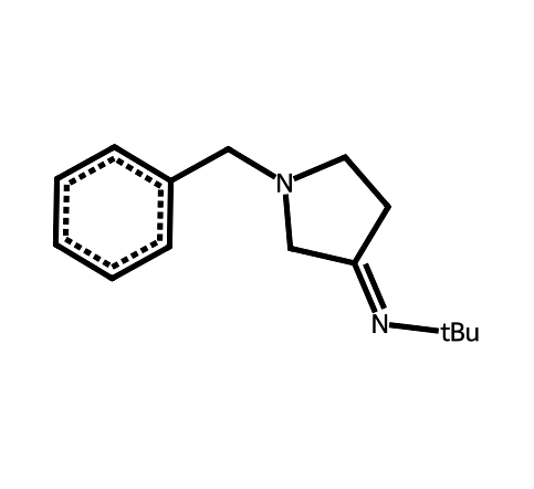 CC(C)(C)/N=C1\CCN(Cc2ccccc2)C1